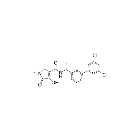 C[C@@H](NC(=O)C1=C(O)C(=O)N(C)C1)c1cccc(-c2cc(Cl)cc(Cl)c2)c1